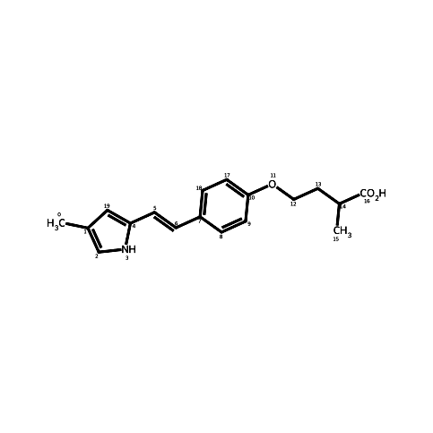 Cc1c[nH]c(/C=C/c2ccc(OCCC(C)C(=O)O)cc2)c1